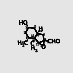 C[C@@H]1C[C@H](O)C[C@H]2C[C@]3(C=O)OC3[C@]21C